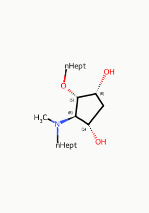 CCCCCCCO[C@H]1[C@H](N(C)CCCCCCC)[C@@H](O)C[C@H]1O